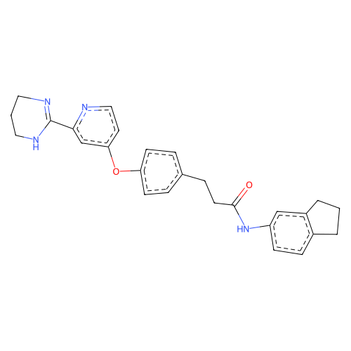 O=C(CCc1ccc(Oc2ccnc(C3=NCCCN3)c2)cc1)Nc1ccc2c(c1)CCC2